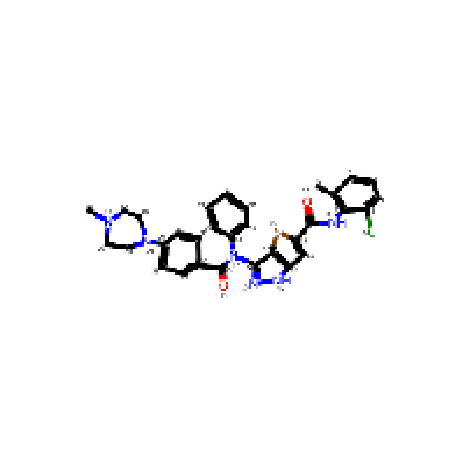 Cc1cccc(Cl)c1NC(=O)c1cc2[nH]nc(N(C(=O)c3ccc(N4CCN(C)CC4)cc3)c3ccccc3)c2s1